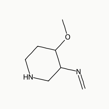 C=NC1CNCCC1OC